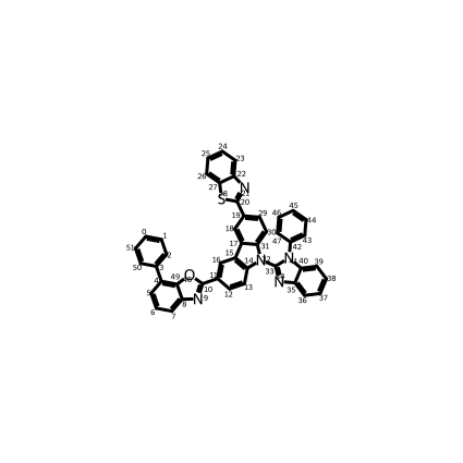 c1ccc(-c2cccc3nc(-c4ccc5c(c4)c4cc(-c6nc7ccccc7s6)ccc4n5-c4nc5ccccc5n4-c4ccccc4)oc23)cc1